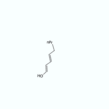 CCCCC=CC=CO